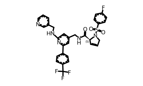 O=C(NCc1cc(NCc2cccnc2)nc(-c2ccc(C(F)(F)F)cc2)c1)[C@@H]1C=CCN1S(=O)(=O)c1ccc(F)cc1